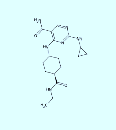 CCNC(=O)[C@H]1CC[C@H](Nc2nc(NC3CC3)ncc2C(N)=O)CC1